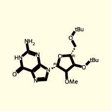 COC1C(OC(C)(C)C)[C@@H](COC(C)(C)C)O[C@H]1n1cnc2c(=O)[nH]c(N)nc21